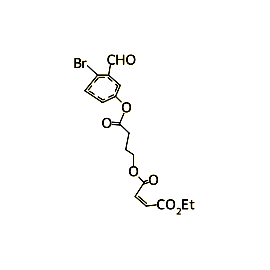 CCOC(=O)/C=C\C(=O)OCCCC(=O)Oc1ccc(Br)c(C=O)c1